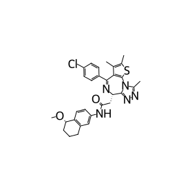 CO[C@H]1CCCc2cc(NC(=O)C[C@@H]3N=C(c4ccc(Cl)cc4)c4c(sc(C)c4C)-n4c(C)nnc43)ccc21